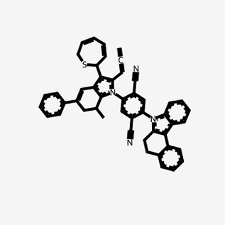 C=C=Cc1c(C2C=CC=CCS2)c2c(n1-c1cc(C#N)c(-n3c4c(c5ccccc53)-c3ccccc3CC4)cc1C#N)C(C)CC(c1ccccc1)=C2